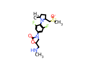 CNCC1CN(c2cc(F)c(N3C(C)CCC3C[S+](C)[O-])c(F)c2)C(=O)O1